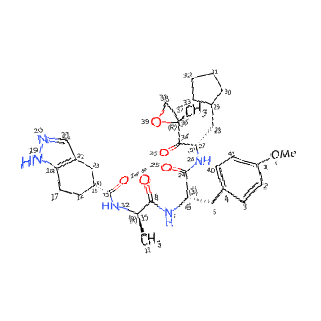 COc1ccc(C[C@H](NC(=O)[C@@H](C)NC(=O)[C@@H]2CCc3[nH]ncc3C2)C(=O)N[C@@H](CC2CCCC2)C(=O)[C@@]2(C)CO2)cc1